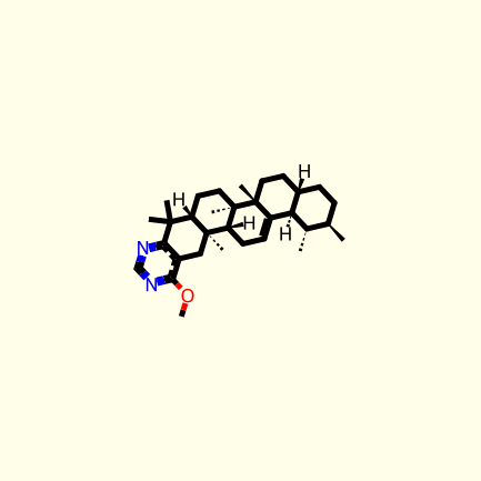 COc1ncnc2c1C[C@]1(C)[C@H]3CC=C4[C@H]5[C@@H](CC[C@@H](C)[C@@H]5C)CC[C@@]4(C)[C@]3(C)CC[C@H]1C2(C)C